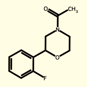 CC(=O)N1CCOC(c2ccccc2F)C1